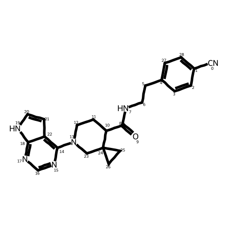 N#Cc1ccc(CCNC(=O)C2CCN(c3ncnc4[nH]ccc34)CC23CC3)cc1